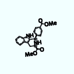 COC(=O)c1ccc([C@H]2N[C@@H](C(=O)OC)Cc3c2[nH]c2ccccc32)cc1